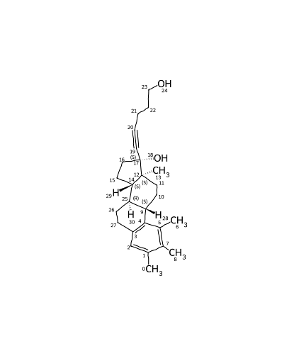 Cc1cc2c(c(C)c1C)[C@H]1CC[C@@]3(C)[C@@H](CC[C@@]3(O)C#CCCCO)[C@@H]1CC2